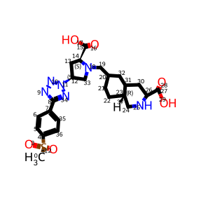 CS(=O)(=O)c1ccc(-c2nnn([C@H]3C[C@@H](C(=O)O)N(CC4CC[C@H]5CNC(C(=O)O)CC5C4)C3)n2)cc1